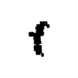 CC(C)(C)C(Cn1ccc(-c2ccc(C(F)(F)F)cc2)n1)OC(=O)Oc1ccc([N+](=O)[O-])cc1